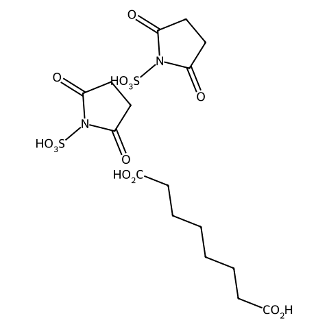 O=C(O)CCCCCCC(=O)O.O=C1CCC(=O)N1S(=O)(=O)O.O=C1CCC(=O)N1S(=O)(=O)O